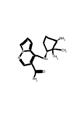 CC1(C)[C@@H](Nc2c(C(N)=O)cnn3cccc23)CC[C@@H]1N